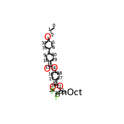 C=CCOc1ccc(-c2ccc(C(=O)Oc3ccc(C(=O)OC(CCCCCCCC)C(F)F)cc3)cc2)cc1